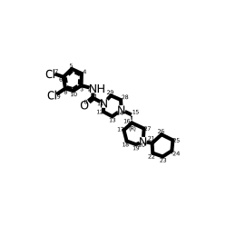 O=C(Nc1ccc(Cl)c(Cl)c1)N1CCN(C[C@H]2CCCN(C3CC[CH]CC3)C2)CC1